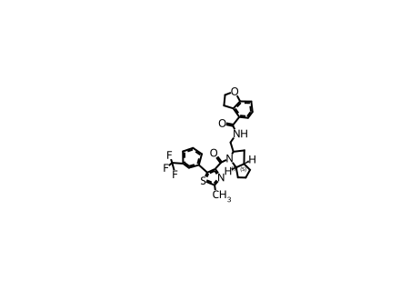 Cc1nc(C(=O)N2C(CNC(=O)c3cccc4c3CCO4)C[C@@H]3CCC[C@@H]32)c(-c2cccc(C(F)(F)F)c2)s1